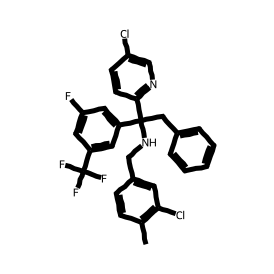 Cc1ccc(CNC(Cc2ccccc2)(c2cc(F)cc(C(F)(F)F)c2)c2ccc(Cl)cn2)cc1Cl